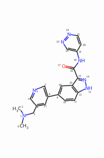 CN(C)Cc1cncc(-c2ccc3[nH]nc(C(=O)Nc4ccnnc4)c3c2)c1